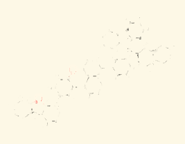 c1ccc2c(c1)-c1c(-c3ccc4c5c(cccc35)-c3cc(-c5cccc6c5oc5ccccc56)ccc3O4)cccc1C21c2ccccc2-c2c1ccc1ccccc21